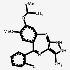 COc1cc2c(cc1OC(C)OC)N=C1NNC(C)=C1N=C2c1ccccc1Cl